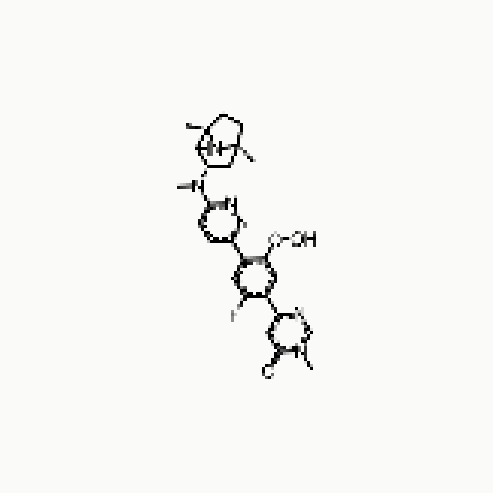 CN(c1ccc(-c2cc(F)c(-c3cc(=O)n(C)cn3)cc2OO)nn1)[C@H]1C[C@]2(C)CC[C@](C)(C1)N2